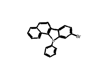 Brc1ccc2c3ccc4ccccc4c3n(-c3ccccc3)c2c1